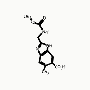 Cc1cc2nc(CNC(=O)OC(C)(C)C)[nH]c2cc1C(=O)O